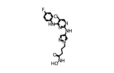 O=C(CCCn1cc(Nc2ncc(Cl)c(Nc3ccc(F)cc3)n2)cn1)NO